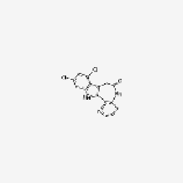 O=C1Cc2c([nH]c3cc(Cl)cc(Cl)c23)-c2ncccc2N1